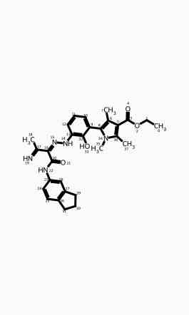 CCOC(=O)c1c(C)c(-c2cccc(N/N=C(/C(C)=N)C(=O)Nc3ccc4c(c3)CCC4)c2O)n(C)c1C